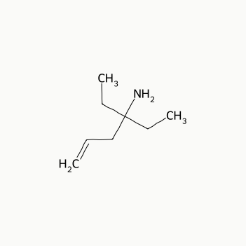 C=CCC(N)(CC)CC